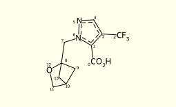 O=C(O)c1c(C(F)(F)F)cnn1CC12CC(CO1)C2